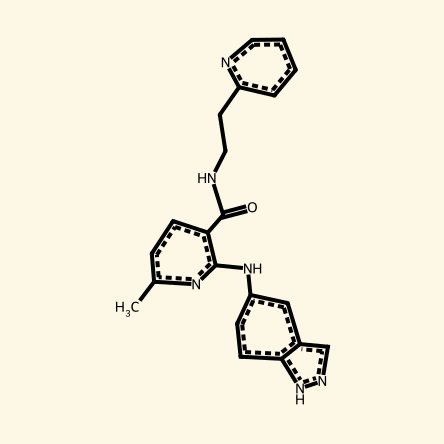 Cc1ccc(C(=O)NCCc2ccccn2)c(Nc2ccc3[nH]ncc3c2)n1